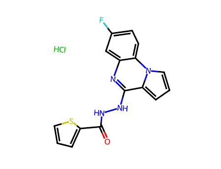 Cl.O=C(NNc1nc2cc(F)ccc2n2cccc12)c1cccs1